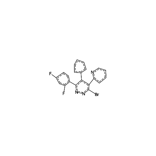 Fc1ccc(-c2nnc(Br)c(-c3ccccn3)c2-c2ccccc2)c(F)c1